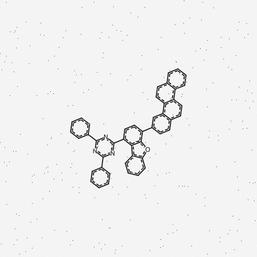 c1ccc(-c2nc(-c3ccccc3)nc(-c3ccc(-c4ccc5ccc6c7ccccc7ccc6c5c4)c4oc5ccccc5c34)n2)cc1